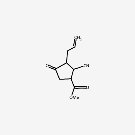 C=CCC1C(=O)CC(C(=O)OC)C1C#N